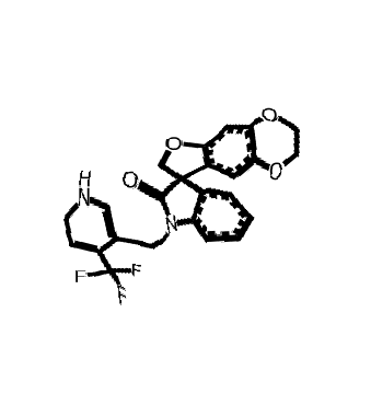 O=C1N(CC2=CNCC=C2C(F)(F)F)c2ccccc2C12COc1cc3c(cc12)OCCO3